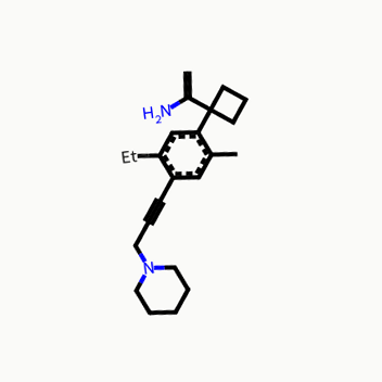 C=C(N)C1(c2cc(CC)c(C#CCN3CCCCC3)cc2C)CCC1